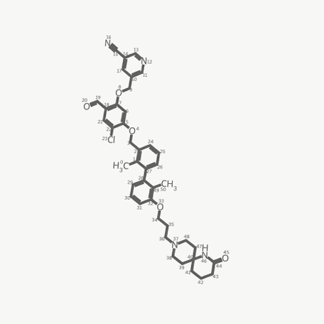 Cc1c(COc2cc(OCc3cncc(C#N)c3)c(C=O)cc2Cl)cccc1-c1cccc(OCCCN2CCC3(CCCC(=O)N3)CC2)c1C